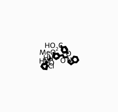 COc1cc(CC(=O)C(Oc2ccc(C(=O)O)cc2)N2CCC3CCCCC32)ccc1NC(=O)Nc1ccccc1Cl